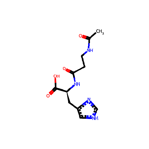 CC(=O)NCCC(=O)N[C@@H](Cc1c[nH]cn1)C(=O)O